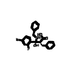 O=C(O)[C@H](Cc1ccccc1)[C@](O)(NCc1ccccc1)c1ccc(Br)cc1F